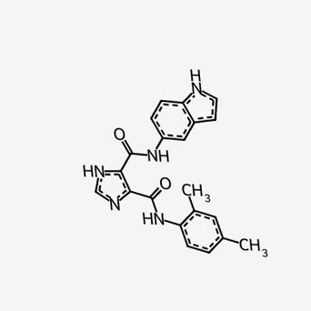 Cc1ccc(NC(=O)c2nc[nH]c2C(=O)Nc2ccc3[nH]ccc3c2)c(C)c1